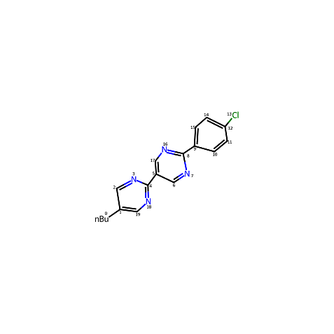 CCCCc1cnc(-c2cnc(-c3ccc(Cl)cc3)nc2)nc1